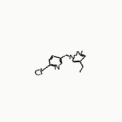 CCc1cnn(Cc2ccc(Cl)nc2)c1